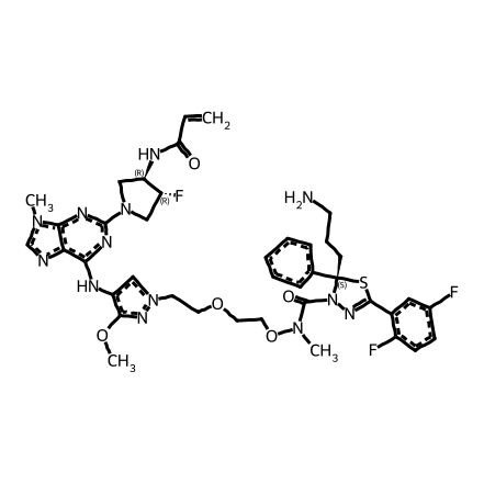 C=CC(=O)N[C@@H]1CN(c2nc(Nc3cn(CCOCCON(C)C(=O)N4N=C(c5cc(F)ccc5F)S[C@@]4(CCCN)c4ccccc4)nc3OC)c3ncn(C)c3n2)C[C@H]1F